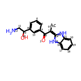 CC(=O)C(C(=O)c1cccc(C(O)CN)c1)=C1Nc2ccccc2N1